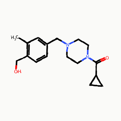 Cc1cc(CN2CCN(C(=O)C3CC3)CC2)ccc1CO